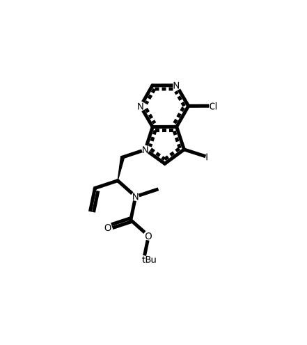 C=C[C@@H](Cn1cc(I)c2c(Cl)ncnc21)N(C)C(=O)OC(C)(C)C